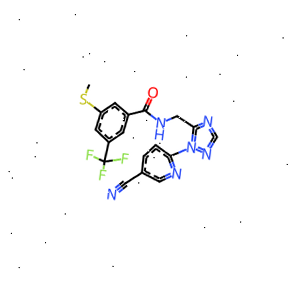 CSc1cc(C(=O)NCc2ncnn2-c2ccc(C#N)cn2)cc(C(F)(F)F)c1